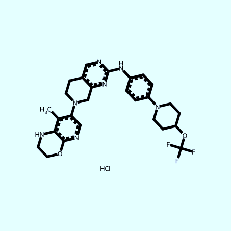 Cc1c(N2CCc3cnc(Nc4ccc(N5CCC(OC(F)(F)F)CC5)cc4)nc3C2)cnc2c1NCCO2.Cl